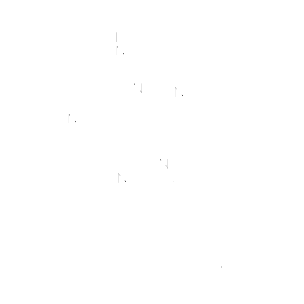 Cc1ccc(S(=O)(=O)n2cc(-c3ncc(F)c(N[C@H]4CCC[C@@H](N)C4)n3)c3cc(Cl)cnc32)cc1